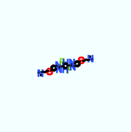 CN(C)CCCOc1ccc2nc(-c3cc(F)c(-c4nc5ccc(OCCCN(C)C)cc5[nH]4)cc3F)[nH]c2c1